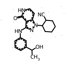 CC(O)c1cccc(Nc2nn(C3CCCCC3C#N)c3cc[nH]c(=O)c23)c1